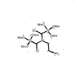 CCC(N(CCN)C(CC)[Si](OC)(OC)OC)[Si](OC)(OC)OC